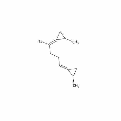 CCC(CCC=C1CC1C)=C1CC1C